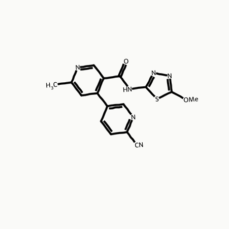 COc1nnc(NC(=O)c2cnc(C)cc2-c2ccc(C#N)nc2)s1